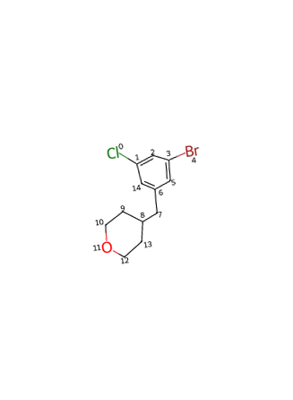 Clc1cc(Br)cc(CC2CCOCC2)c1